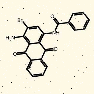 Nc1c(Br)cc(NC(=O)c2ccccc2)c2c1C(=O)c1ccccc1C2=O